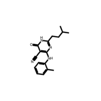 Cc1ccccc1Nc1nc(CCC(C)C)[nH]c(=O)c1C#N